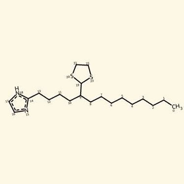 CCCCCCCCCC(CCCCc1ncc[nH]1)C1SCCS1